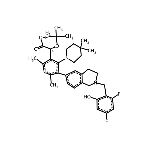 Cc1nc(C)c([C@H](OC(C)(C)C)C(=O)O)c(N2CCC(C)(C)CC2)c1-c1ccc2c(c1)CCN(Cc1c(O)cc(F)cc1F)C2